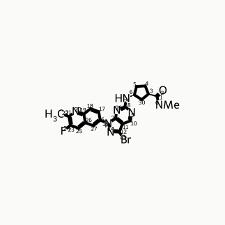 CNC(=O)[C@@H]1CC[C@@H](Nc2ncc3c(Br)nn(-c4ccc5nc(C)c(F)cc5c4)c3n2)C1